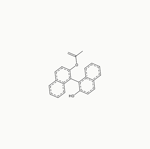 C=C(C)Oc1ccc2ccccc2c1-c1c(O)ccc2ccccc12